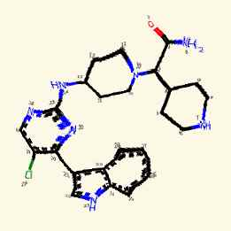 NC(=O)C(C1CCNCC1)N1CCC(Nc2ncc(Cl)c(-c3c[nH]c4ccccc34)n2)CC1